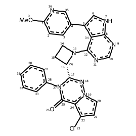 COc1ccc(-c2c[nH]c3ncnc(N4CC[C@H]4c4nn5ccc(Cl)c5c(=O)n4-c4ccccc4)c23)cn1